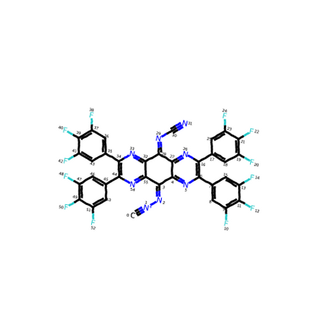 [C-]#[N+]N=C1c2nc(-c3cc(F)c(F)c(F)c3)c(-c3cc(F)c(F)c(F)c3)nc2C(=NC#N)c2nc(-c3cc(F)c(F)c(F)c3)c(-c3cc(F)c(F)c(F)c3)nc21